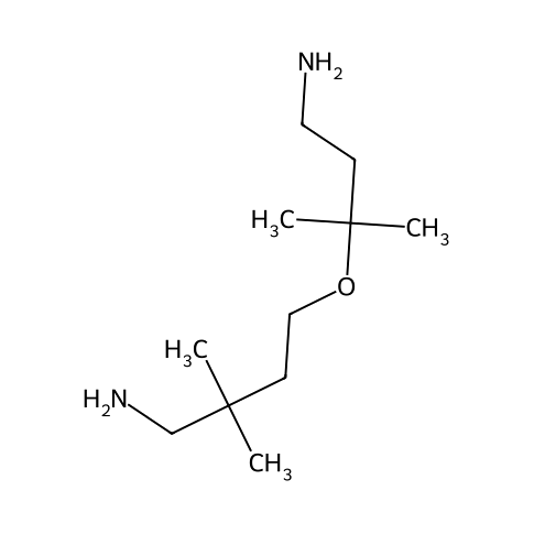 CC(C)(CN)CCOC(C)(C)CCN